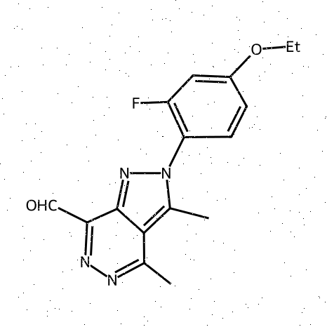 CCOc1ccc(-n2nc3c(C=O)nnc(C)c3c2C)c(F)c1